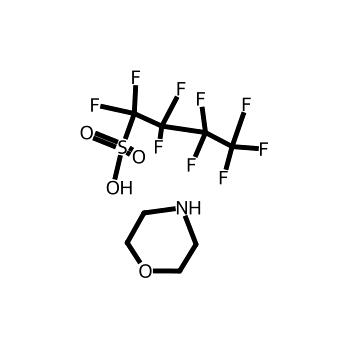 C1COCCN1.O=S(=O)(O)C(F)(F)C(F)(F)C(F)(F)C(F)(F)F